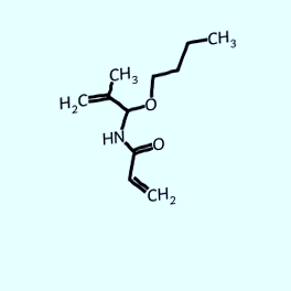 C=CC(=O)NC(OCCCC)C(=C)C